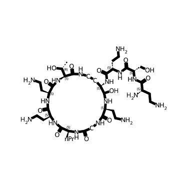 CCC[C@@H]1NC(=O)CNC(=O)[C@H](CCN)NC(O)[C@@H](NC(=O)[C@H](CCN)NC(=O)[C@H](CO)NC(=O)[C@@H](N)CCN)CCNC(=O)[C@H]([C@@H](C)O)NC(=O)[C@H](CCN)NC(=O)[C@H](CCN)NC1=O